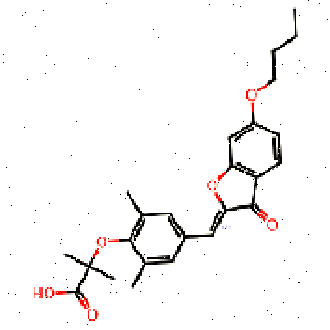 CCCCOc1ccc2c(c1)O/C(=C\c1cc(C)c(OC(C)(C)C(=O)O)c(C)c1)C2=O